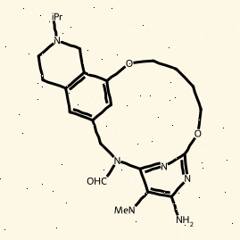 CNc1c(N)nc2nc1N(C=O)Cc1cc3c(c(c1)OCCCCO2)CN(C(C)C)CC3